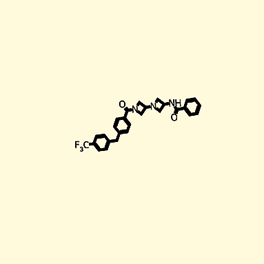 O=C(NC1CN(C2CN(C(=O)c3ccc(Cc4ccc(C(F)(F)F)cc4)cc3)C2)C1)c1ccccc1